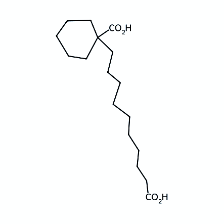 O=C(O)CCCCCCCCCC1(C(=O)O)CCCCC1